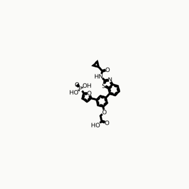 O=C(O)COc1cc(-c2ccc(P(=O)(O)O)o2)cc(-c2cccc3nc(NC(=O)C4CC4)sc23)c1